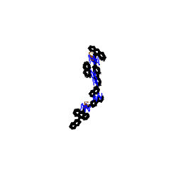 c1ccc2cc(-c3c4ccccc4c(-c4nsc(-c5ccc6c7cccnc7n(-c7cccc8cc(-c9ccc%10c%11ccc(-c%12nsc(-c%13c%14ccccc%14cc%14ccccc%13%14)n%12)cc%11n(-c%11cccc%12ccccc%11%12)c%10n9)ccc78)c6c5)n4)c4ccccc34)ccc2c1